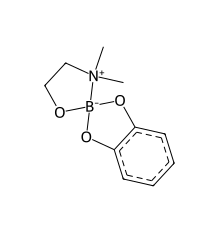 C[N+]1(C)CCO[B-]12Oc1ccccc1O2